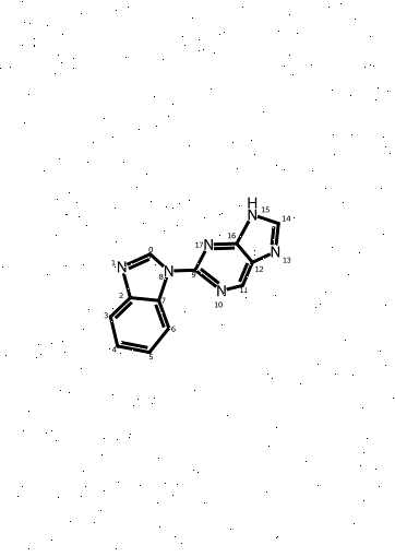 [c]1nc2ccccc2n1-c1ncc2nc[nH]c2n1